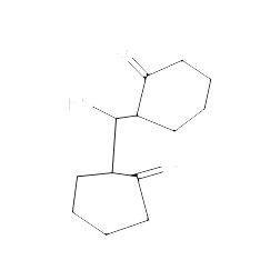 O=C1CCCCC1C(S)C1CCCCC1=O